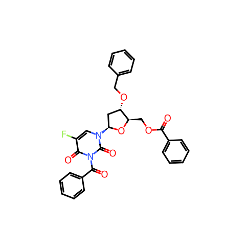 O=C(OC[C@H]1O[C@@H](n2cc(F)c(=O)n(C(=O)c3ccccc3)c2=O)C[C@@H]1OCc1ccccc1)c1ccccc1